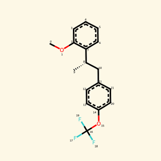 COc1ccccc1[C@@H](C)[CH]c1ccc(OC(F)(F)F)cc1